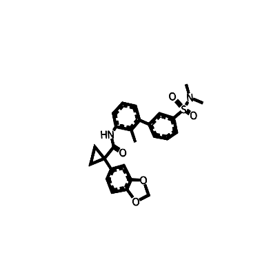 Cc1c(NC(=O)C2(c3ccc4c(c3)OCO4)CC2)cccc1-c1cccc(S(=O)(=O)N(C)C)c1